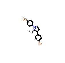 [2H]c1c(-c2ccc(Br)cc2)ccn1-c1ccc(Br)cc1